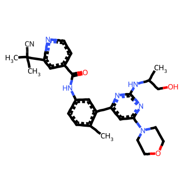 Cc1ccc(NC(=O)c2ccnc(C(C)(C)C#N)c2)cc1-c1cc(N2CCOCC2)nc(NC(C)CO)n1